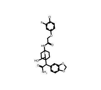 NC(=O)C(c1ccc2c(c1)OCO2)C12CCC(NC(=O)COc3ccc(Cl)c(F)c3)(CC1)CC2O